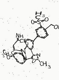 C/C(=C/C(=N)C(F)(F)F)Nc1ccc(-c2ccc(CO)c(S(C)(=O)=O)c2)cc1-c1nc(C)oc1-c1ccc(OC(F)(F)F)cc1